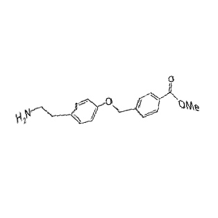 COC(=O)c1ccc(COc2ccc(CCN)cc2)cc1